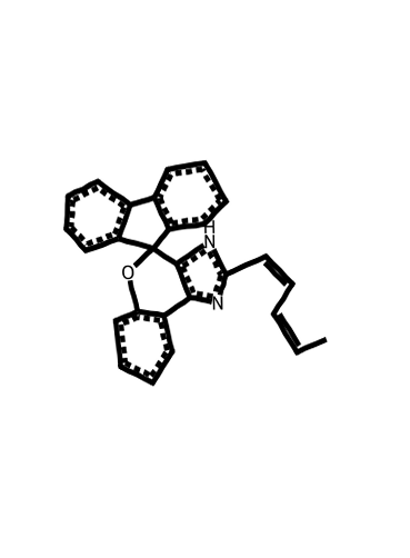 C/C=C\C=C/c1nc2c([nH]1)C1(Oc3ccccc3-2)c2ccccc2-c2ccccc21